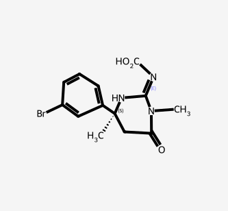 CN1C(=O)C[C@@](C)(c2cccc(Br)c2)N/C1=N\C(=O)O